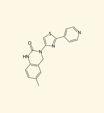 Cc1ccc2c(c1)CN(c1csc(-c3ccncc3)n1)C(=O)N2